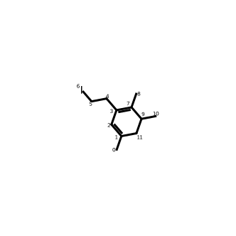 CC1=CC(CCI)=C(C)C(C)C1